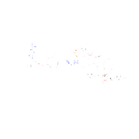 CCC(C)(N=[N+]=[N-])Oc1ccc(/C=N/N(C)[PH](=S)C(C)(CC)Oc2ccc(CP(=O)(OC)OC)cc2)cc1